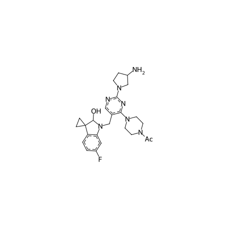 CC(=O)N1CCN(c2nc(N3CCC(N)C3)ncc2CN2c3cc(F)ccc3C3(CC3)C2O)CC1